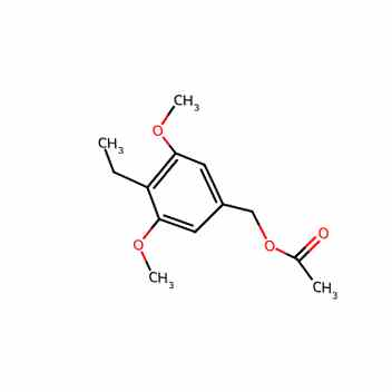 CCc1c(OC)cc(COC(C)=O)cc1OC